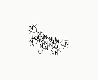 CN1C(C)(C)CC(N2CC[N+](CCN)(N(c3nc(Cl)nc(N(C4CC(C)(C)N(C)C(C)(C)C4)[N+]4(CCN)CCN(C5CC(C)(C)N(C)C(C)(C)C5)C4=O)n3)C3CC(C)(C)N(C)C(C)(C)C3)C2=O)CC1(C)C